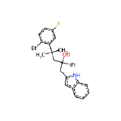 CCc1ccc(F)cc1C(C)(C)CC(O)(Cc1cc2ccccc2[nH]1)C(C)C